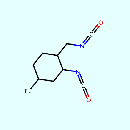 CCC1CCC(CN=C=O)C(N=C=O)C1